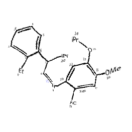 CCc1ccccc1C(/C=N\c1cc(OC(C)C)c(OC)cc1C(C)=O)C(C)C